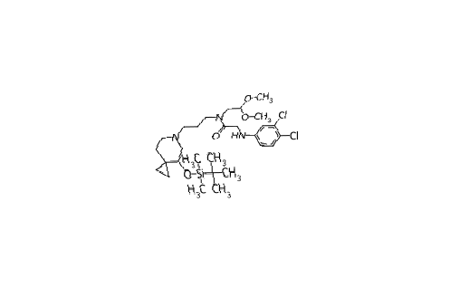 COC(CN(CCCN1CCC2(CC2)C(O[Si](C)(C)C(C)(C)C)C1)C(=O)CNc1ccc(Cl)c(Cl)c1)OC